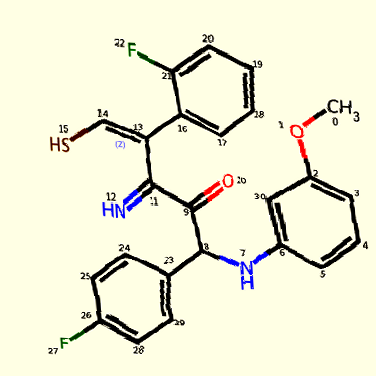 COc1cccc(NC(C(=O)C(=N)/C(=C\S)c2ccccc2F)c2ccc(F)cc2)c1